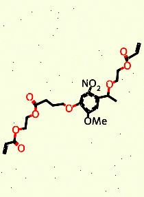 C=CC(=O)OCCOC(=O)CCCOc1cc([N+](=O)[O-])c(C(C)OCCOC(=O)C=C)cc1OC